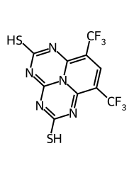 FC(F)(F)C1=CC(C(F)(F)F)=C2N=C(S)N=C3N=C(S)N=C1N32